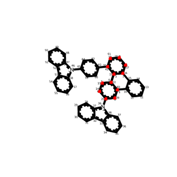 c1ccc(-c2ccccc2-c2ccccc2-c2ccccc2-c2ccc(-n3c4ccccc4c4ccccc43)cc2)c(-c2ccc(-n3c4ccccc4c4ccccc43)cc2)c1